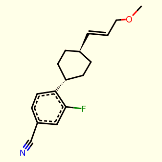 COC/C=C/[C@H]1CC[C@H](c2ccc(C#N)cc2F)CC1